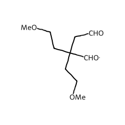 COCCC([C]=O)(CC=O)CCOC